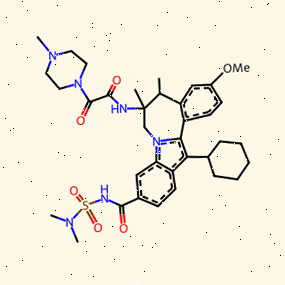 COc1ccc2c(c1)C(C)C(C)(NC(=O)C(=O)N1CCN(C)CC1)Cn1c-2c(C2CCCCC2)c2ccc(C(=O)NS(=O)(=O)N(C)C)cc21